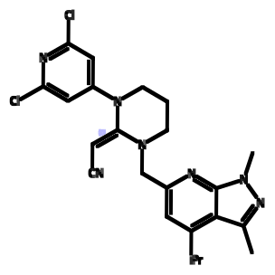 Cc1nn(C)c2nc(CN3CCCN(c4cc(Cl)nc(Cl)c4)/C3=C/C#N)cc(C(C)C)c12